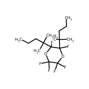 CCCC(C)(C)C1(F)OC(F)(F)C(F)(F)OC1(F)C(C)(C)CCC